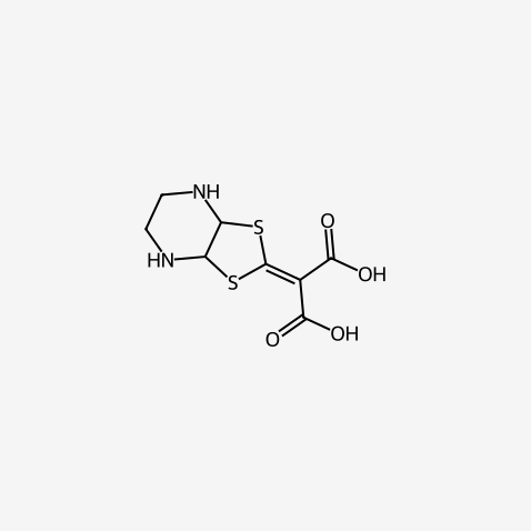 O=C(O)C(C(=O)O)=C1SC2NCCNC2S1